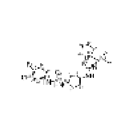 CN(C)c1nc(NC2CCC(NC(=O)Nc3ccc(F)c(Cl)c3)CC2)nc2c1CCCC2